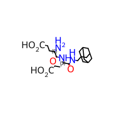 N[C@@H](CCC(=O)O)C(=O)N[C@@H](CCC(=O)O)C(=O)NCC12CC3CC(CC(C3)C1)C2